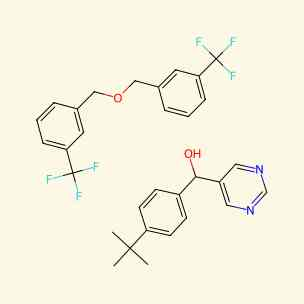 CC(C)(C)c1ccc(C(O)c2cncnc2)cc1.FC(F)(F)c1cccc(COCc2cccc(C(F)(F)F)c2)c1